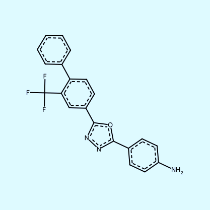 Nc1ccc(-c2nnc(-c3ccc(-c4ccccc4)c(C(F)(F)F)c3)o2)cc1